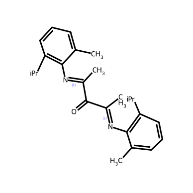 C/C(=N\c1c(C)cccc1C(C)C)C(=O)/C(C)=N/c1c(C)cccc1C(C)C